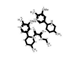 COc1cc(C2CCC(C)CN2)cnc1C.COc1cc(C2CCC(C)CN2C(=O)C(=O)OCC(F)(F)F)cnc1C